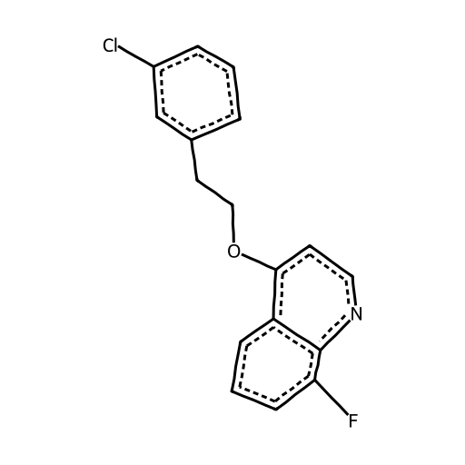 Fc1cccc2c(OCCc3cccc(Cl)c3)ccnc12